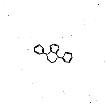 c1ccc(N2CCCN(c3ccccc3)c3ccccc32)cc1